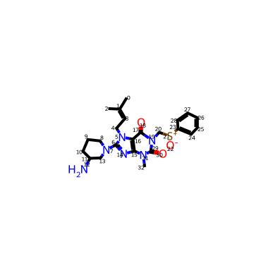 CC(C)=CCn1c(N2CCCC(N)C2)nc2c1c(=O)n(C[S+]([O-])c1ccccc1)c(=O)n2C